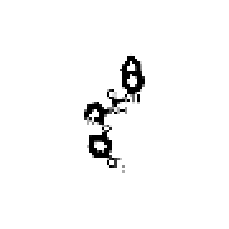 O=C(Nc1ccc2c(c1)CCC2)Nc1cccnc1Oc1cccc(C(F)(F)F)c1